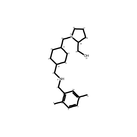 Cc1ccc(C)c(CNCC2CCC(CN3CCCC3CO)CC2)c1